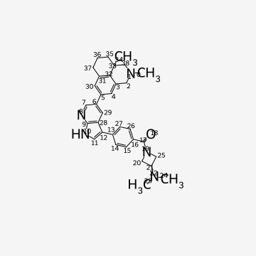 CN1Cc2cc(-c3cnc4[nH]cc(-c5ccc(C(=O)N6CC(N(C)C)C6)cc5)c4c3)cc3c2C(C)(CCC3)C1